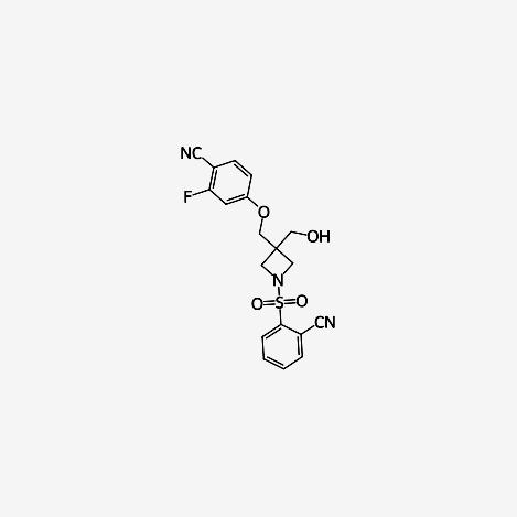 N#Cc1ccc(OCC2(CO)CN(S(=O)(=O)c3ccccc3C#N)C2)cc1F